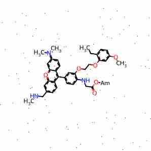 CCc1ccc(OC)cc1OCCOc1cc(-c2c3ccc(=[N+](C)C)cc-3oc3cc(CNC)ccc23)ccc1NCC(=O)[O][Am]